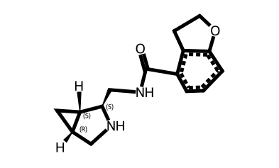 O=C(NC[C@H]1NC[C@@H]2C[C@@H]21)c1cccc2c1CCO2